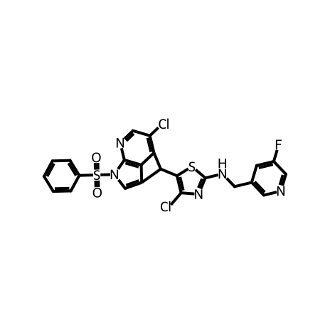 O=S(=O)(c1ccccc1)n1cc2c3c(c(Cl)cnc31)C2c1sc(NCc2cncc(F)c2)nc1Cl